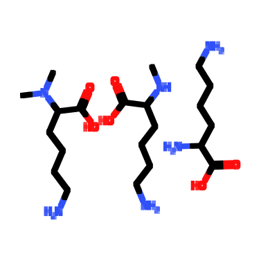 CN(C)C(CCCCN)C(=O)O.CNC(CCCCN)C(=O)O.NCCCCC(N)C(=O)O